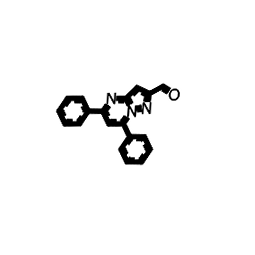 O=Cc1cc2nc(-c3ccccc3)cc(-c3ccccc3)n2n1